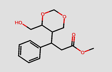 COC(=O)CC(c1ccccc1)C1COCOC1CO